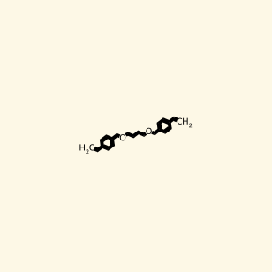 C=Cc1ccc(COCCCCOCc2ccc(C=C)cc2)cc1